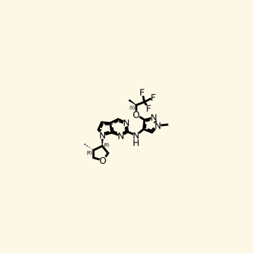 C[C@H](Oc1nn(C)cc1Nc1ncc2ccn([C@H]3COC[C@@H]3C)c2n1)C(F)(F)F